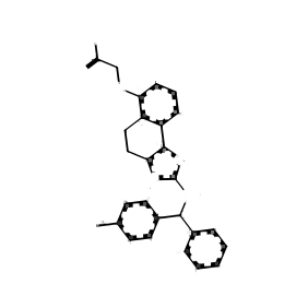 O=C(O)COc1cccc2c1CCc1sc(SC(c3ccccc3)c3ccc(Cl)cc3)nc1-2